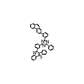 c1ccc(-c2nc(-c3cccc(-c4ccc5c(ccc6ccccc65)c4)c3)nc(-c3cccc(-c4nc5ccccc5c5sc6ccccc6c45)c3)n2)cc1